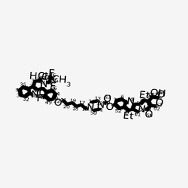 CCc1c2c(nc3ccc(OC(=O)N4CCN(CCCCCCOc5cc(F)c(C6c7[nH]c8ccccc8c7C[C@@H](C)N6CC(C)(C)F)c(F)c5)CC4)cc13)-c1cc3c(c(=O)n1C2)COC(=O)[C@]3(O)CC